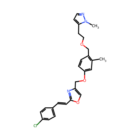 Cc1cc(OCc2coc(C=Cc3ccc(Cl)cc3)n2)ccc1COCCc1ccnn1C